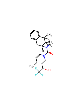 CC/C=C\N(CC[C@@H](O)C(F)(F)F)C(=O)N1CC[C@@]2(C)c3ccccc3C[C@@H]1C2(C)C